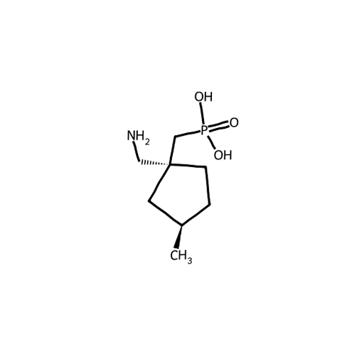 C[C@@H]1CC[C@](CN)(CP(=O)(O)O)C1